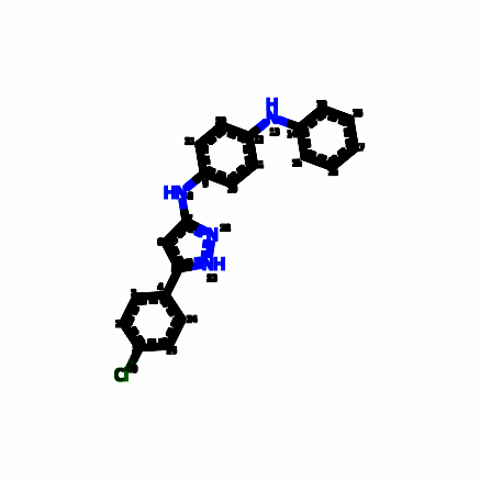 Clc1ccc(-c2cc(Nc3ccc(Nc4ccccc4)cc3)n[nH]2)cc1